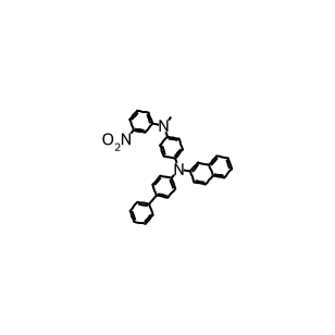 CN(c1ccc(N(c2ccc(-c3ccccc3)cc2)c2ccc3ccccc3c2)cc1)c1cccc([N+](=O)[O-])c1